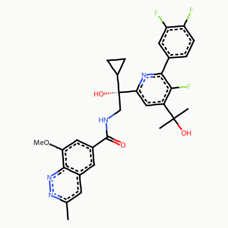 COc1cc(C(=O)NC[C@](O)(c2cc(C(C)(C)O)c(F)c(-c3ccc(F)c(F)c3)n2)C2CC2)cc2cc(C)nnc12